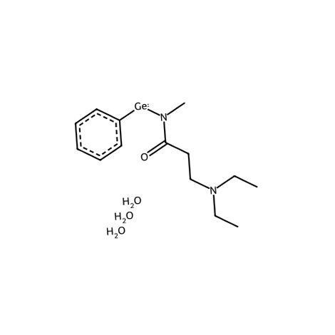 CCN(CC)CCC(=O)[N](C)[Ge][c]1ccccc1.O.O.O